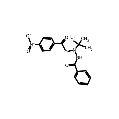 CC(C)(C)N(NC(=O)c1ccccc1)OC(=O)c1ccc([N+](=O)[O-])cc1